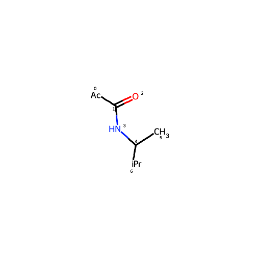 CC(=O)C(=O)NC(C)C(C)C